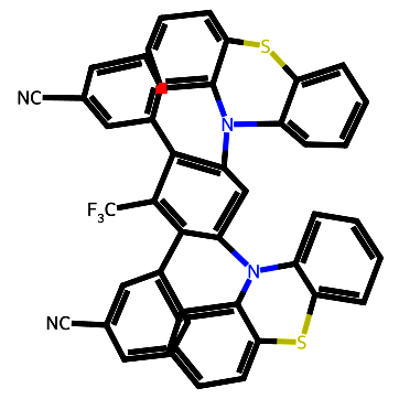 N#Cc1cccc(-c2c(N3c4ccccc4Sc4ccccc43)cc(N3c4ccccc4Sc4ccccc43)c(-c3cccc(C#N)c3)c2C(F)(F)F)c1